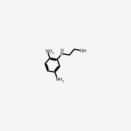 Nc1ccc([N+](=O)[O-])c(NCCO)c1